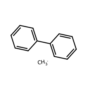 [CH3].c1ccc(-c2ccccc2)cc1